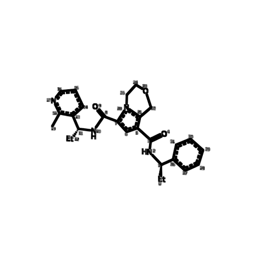 CC[C@@H](NC(=O)c1cc(C(=O)N[C@H](CC)c2cccnc2C)n2c1COCC2)c1ccccc1